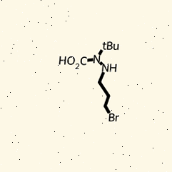 CC(C)(C)N(NCCCBr)C(=O)O